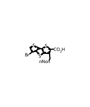 CCCCCCCCCCc1c(C(=O)O)sc2c1sc1c(Br)csc12